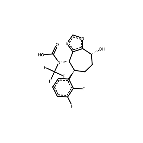 O=C(O)N([C@@H]1c2scnc2[C@H](O)CC[C@H]1c1cccc(F)c1F)C(F)(F)F